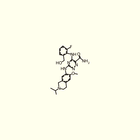 COc1cc2c(cc1Nc1nnc(C(N)=O)c(Nc3c(F)cccc3CO)n1)CN(C(C)C)CC2